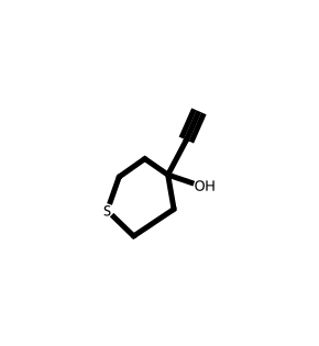 C#CC1(O)CCSCC1